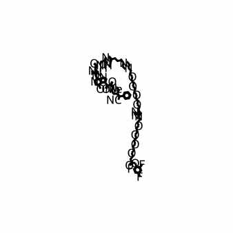 COc1cnc(-n2cnc(C(=O)NCc3ncc(CCCN4CCN(CCOCCOCCOCCOCc5cn(CCOCCOCCOCCOCCC(=O)Oc6c(F)cc(F)cc6F)nn5)CC4)cn3)n2)c2[nH]cc(C(=O)C(=O)N3CCC(=C(C#N)c4ccccc4)CC3)c12